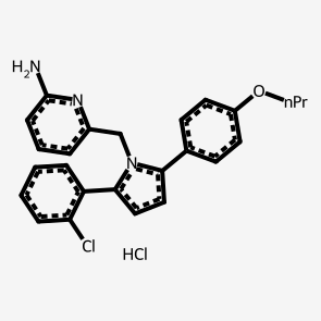 CCCOc1ccc(-c2ccc(-c3ccccc3Cl)n2Cc2cccc(N)n2)cc1.Cl